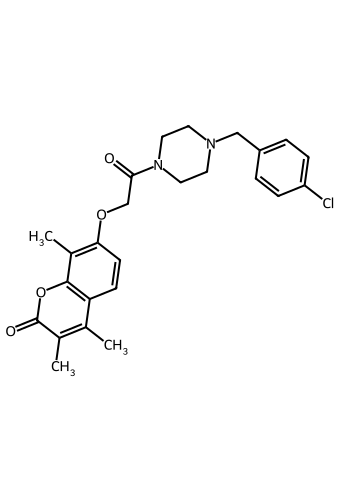 Cc1c(C)c2ccc(OCC(=O)N3CCN(Cc4ccc(Cl)cc4)CC3)c(C)c2oc1=O